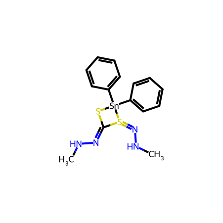 CN/N=C1\[S][Sn]([c]2ccccc2)([c]2ccccc2)\[S]1=N\NC